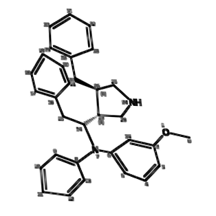 COc1cccc(N(c2ccccc2)C(Cc2ccccc2)[C@H]2CNC[C@@H]2Cc2ccccc2)c1